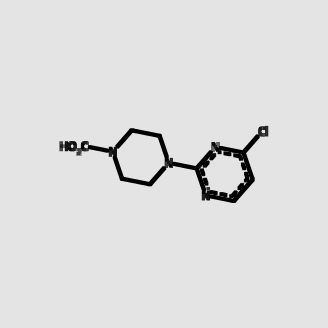 O=C(O)N1CCN(c2nccc(Cl)n2)CC1